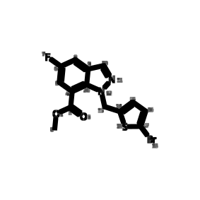 COC(=O)c1cc(F)cc2cnn(Cc3ccc(Br)s3)c12